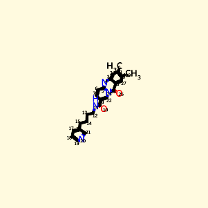 Cc1cc2nc3ccc(C(=O)NCCCCc4cccnc4)cn3c(=O)c2cc1C